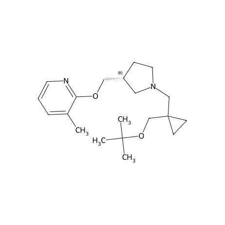 Cc1cccnc1OC[C@@H]1CCN(CC2(COC(C)(C)C)CC2)C1